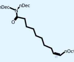 CCCCCCCC/C=C\CCCCCCCC(=O)N(CCCCCCCCCC)CCCCCCCCCC